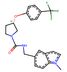 Cn1ccc2cc(CNC(=O)N3CC[C@H](Oc4ccc(C(F)(F)F)cc4)C3)ccc21